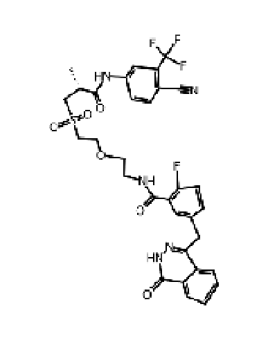 C[C@@H](CS(=O)(=O)CCOCCNC(=O)c1cc(Cc2n[nH]c(=O)c3ccccc23)ccc1F)C(=O)Nc1ccc(C#N)c(C(F)(F)F)c1